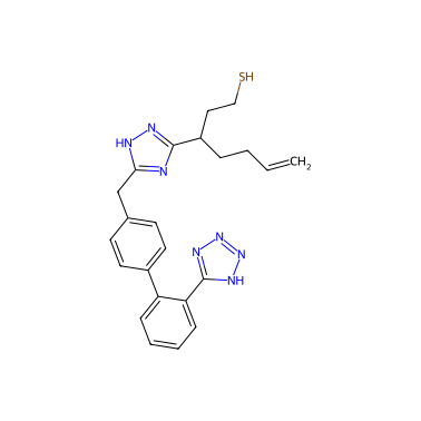 C=CCCC(CCS)c1n[nH]c(Cc2ccc(-c3ccccc3-c3nnn[nH]3)cc2)n1